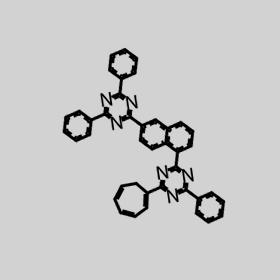 C1=CC=C(c2nc(-c3ccccc3)nc(-c3cccc4cc(-c5nc(-c6ccccc6)nc(-c6ccccc6)n5)ccc34)n2)CC=C1